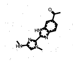 CNc1cn(C)c(-c2nc3ccc(C(C)=O)cc3[nH]2)n1